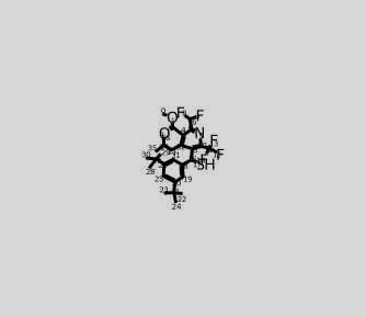 COC(=O)c1c(C(F)F)nc(C(F)(F)F)c(C(S)c2cc(C(C)(C)C)cc(C(C)(C)C)c2)c1CC(C)C